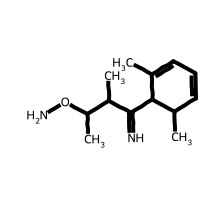 CC1=CC=CC(C)C1C(=N)C(C)C(C)ON